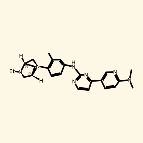 CCN1C[C@@H]2C[C@H]1CN2c1ccc(Nc2nccc(-c3ccc(N(C)C)nc3)n2)cc1C